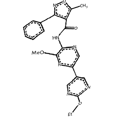 CCOc1ncc(-c2cnc(NC(=O)c3c(-c4ccccc4)noc3C)c(OC)n2)cn1